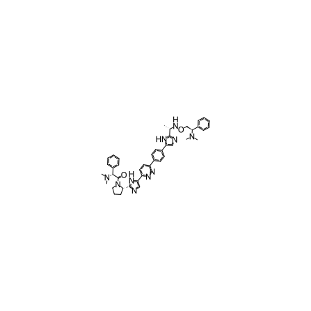 C[C@H](NOC[C@@H](c1ccccc1)N(C)C)c1ncc(-c2ccc(-c3ccc(-c4cnc([C@@H]5CCCN5C(=O)[C@@H](c5ccccc5)N(C)C)[nH]4)nn3)cc2)[nH]1